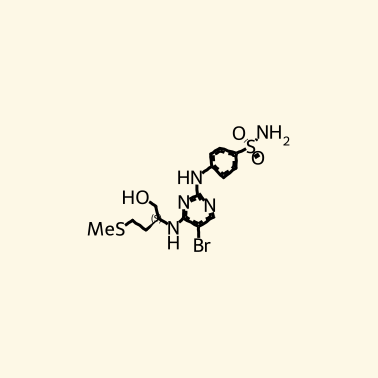 CSCC[C@@H](CO)Nc1nc(Nc2ccc(S(N)(=O)=O)cc2)ncc1Br